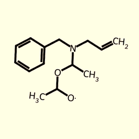 C=CCN(Cc1ccccc1)C(C)OC(C)[O]